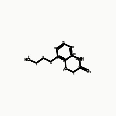 O=C1COc2c(CCCO)cccc2N1